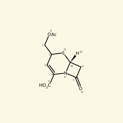 CC(=O)OCC1C=C(C(=O)O)N2C(=O)C[C@H]2S1